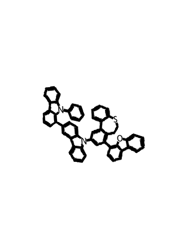 c1ccc(-n2c3ccccc3c3cccc(-c4ccc5c(c4)c4ccccc4n5-c4cc5c(c(-c6cccc7c6oc6ccccc67)c4)CCSc4ccccc4-5)c32)cc1